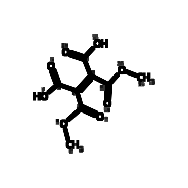 COC(=O)/C(C(=O)O)=C(/C(=O)O)C(=O)OC